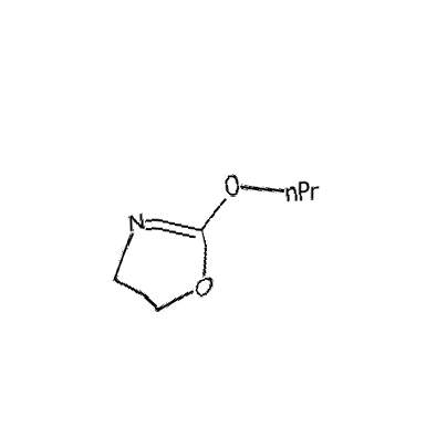 CCCOC1=NCCO1